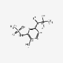 CS(=O)(=O)Nc1cc(C(F)C(F)(F)C(F)(F)F)ccc1O